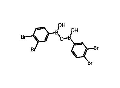 OB(OB(O)c1ccc(Br)c(Br)c1)c1ccc(Br)c(Br)c1